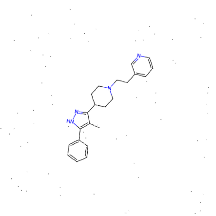 Cc1c(C2CCN(CCc3cccnc3)CC2)n[nH]c1-c1ccccc1